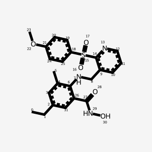 CCc1cc(C)c(NCc2cccnc2S(=O)(=O)c2ccc(OC)cc2)c(C(=O)NO)c1